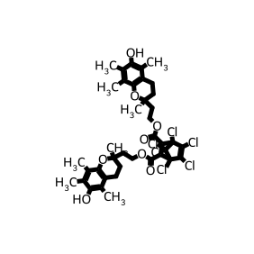 Cc1c(C)c2c(c(C)c1O)CCC(C)(CCOC(=O)C1C(C(=O)OCCC3(C)CCc4c(C)c(O)c(C)c(C)c4O3)C3(Cl)C(Cl)=C(Cl)C1(Cl)C3(Cl)Cl)O2